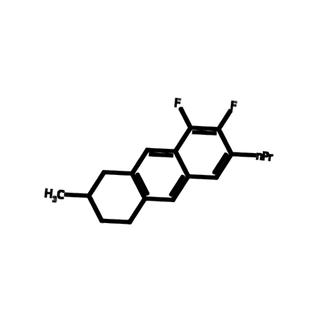 CCCc1cc2cc3c(cc2c(F)c1F)CC(C)CC3